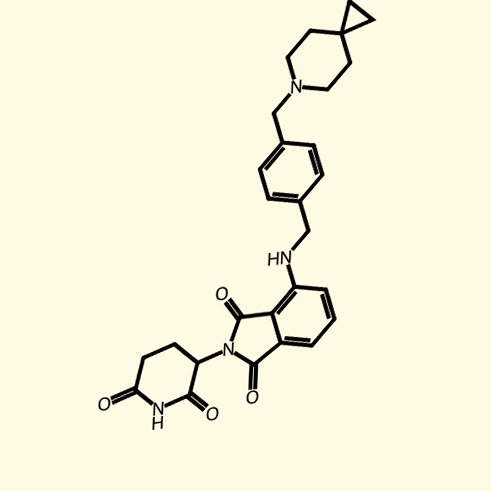 O=C1CCC(N2C(=O)c3cccc(NCc4ccc(CN5CCC6(CC5)CC6)cc4)c3C2=O)C(=O)N1